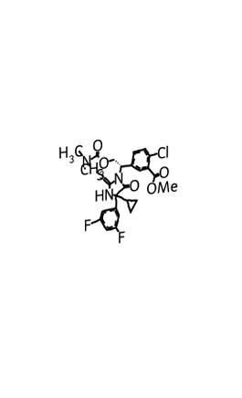 COC(=O)c1cc([C@@H](COC(=O)N(C)C)N2C(=O)C(c3cc(F)cc(F)c3)(C3CC3)NC2=S)ccc1Cl